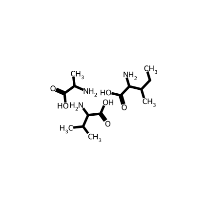 CC(C)C(N)C(=O)O.CC(N)C(=O)O.CCC(C)C(N)C(=O)O